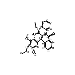 CCOC(=O)c1c(-c2cc(OC)c(OCC)c(OC)c2)c2ccccc2c(=O)n1-c1ccccc1